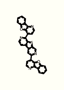 c1ccc2c(c1)oc1c(-c3cc4c(cn3)sc3c(-c5ccnc6c5oc5ccccc56)nccc34)ccnc12